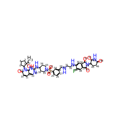 CC1(O)CCCC1n1c(=O)ccc2cnc(NC3CCN(S(=O)(=O)c4cccc(CNCCNc5cc6c(cc5F)C(=O)N(C5CCC(=O)NC5=O)C6=O)c4)CC3)nc21